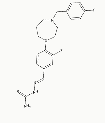 NC(=S)N/N=C/c1ccc(N2CCCN(Cc3ccc(F)cc3)CC2)c(F)c1